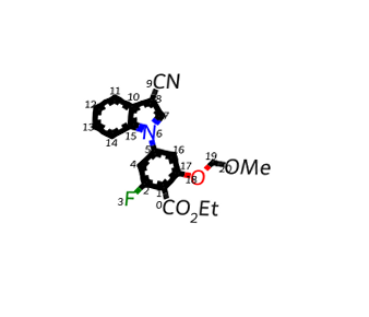 CCOC(=O)c1c(F)cc(-n2cc(C#N)c3ccccc32)cc1OCOC